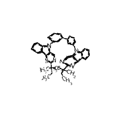 CCC(C)(C)c1ncc2c(n1)c1ccccc1n2-c1cccc(-c2cccc(-n3c4ccccc4c4nc(C(C)(C)CC)ncc43)c2)c1